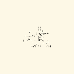 O=C(O)C(F)(F)F.O=C(O)CC1=C(OC(=O)O)N2C(=O)[C@H]3NCCC1[C@H]32